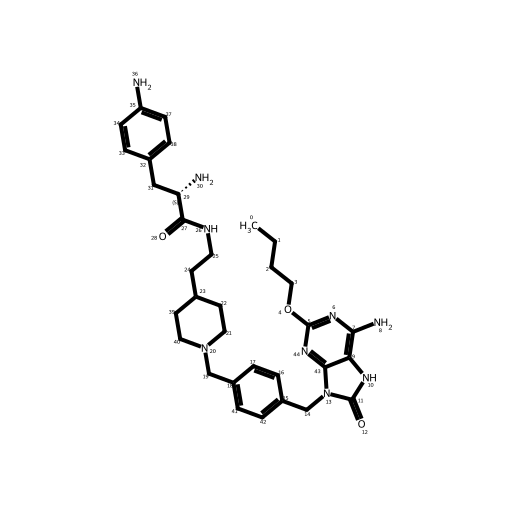 CCCCOc1nc(N)c2[nH]c(=O)n(Cc3ccc(CN4CCC(CCNC(=O)[C@@H](N)Cc5ccc(N)cc5)CC4)cc3)c2n1